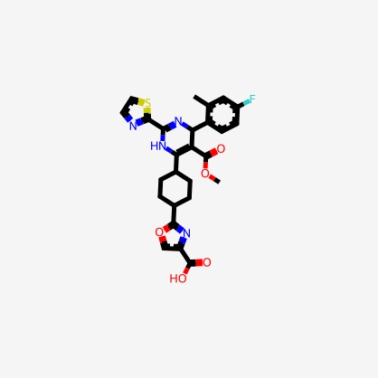 COC(=O)C1=C(C2CCC(c3nc(C(=O)O)co3)CC2)NC(c2nccs2)=NC1c1ccc(F)cc1C